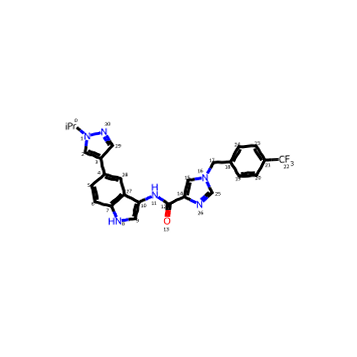 CC(C)n1cc(-c2ccc3[nH]cc(NC(=O)c4cn(Cc5ccc(C(F)(F)F)cc5)cn4)c3c2)cn1